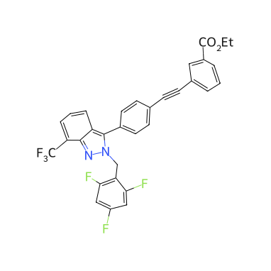 CCOC(=O)c1cccc(C#Cc2ccc(-c3c4cccc(C(F)(F)F)c4nn3Cc3c(F)cc(F)cc3F)cc2)c1